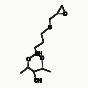 CC1O[SiH](CCCOCC2CO2)OC(C)C1O